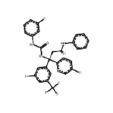 O=C(C[C@](NC(=O)Nc1cccc(F)c1)(c1cc(F)cc(C(F)(F)F)c1)c1ccc(Cl)cn1)Nc1ccccc1